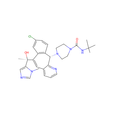 Cn1cncc1[C@@](C)(O)C1=Cc2cccnc2[C@@H](N2CCN(C(=O)NC(C)(C)C)CC2)c2ccc(Cl)cc21